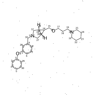 c1ccc(Oc2cccc(CN3C[C@@H]4C(COCCCN5CCCCC5)[C@@H]4C3)c2)cc1